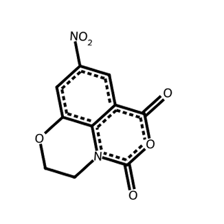 O=c1oc(=O)n2c3c(cc([N+](=O)[O-])cc13)OCC2